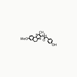 COc1ccc2c(c1)CCc1nc(NC(=O)Cc3ccc(O)cc3)c(C)nc1-2